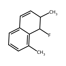 Cc1cccc2c1C(F)C(C)C=C2